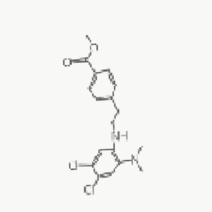 COC(=O)c1ccc(CCNc2cc(Cl)c(Cl)cc2N(C)C)cc1